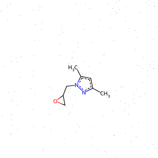 Cc1cc(C)n(CC2CO2)n1